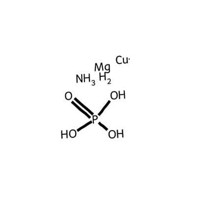 N.O=P(O)(O)O.[Cu].[MgH2]